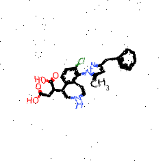 Cc1cc(Cc2ccccc2)nn1-c1c(Cl)ccc2c1CCNCC2C(CC(=O)O)C(=O)O